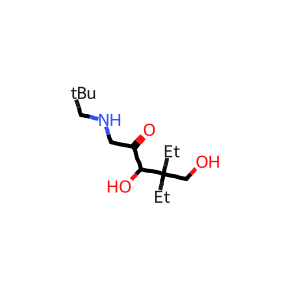 CCC(CC)(CO)C(O)C(=O)CNCC(C)(C)C